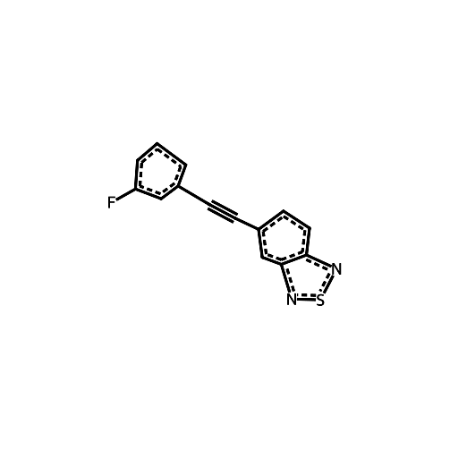 Fc1cccc(C#Cc2ccc3nsnc3c2)c1